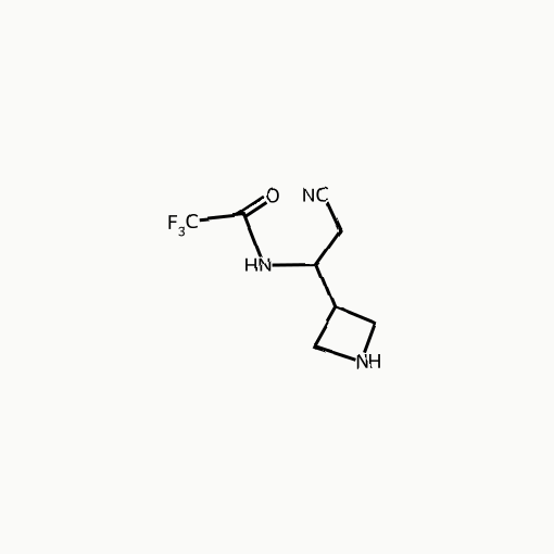 N#CCC(NC(=O)C(F)(F)F)C1CNC1